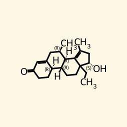 CCC12CC[C@H]3[C@H](C1=C(C)C[C@@H]2O)[C@H](C)CC1=CC(=O)CC[C@@H]13